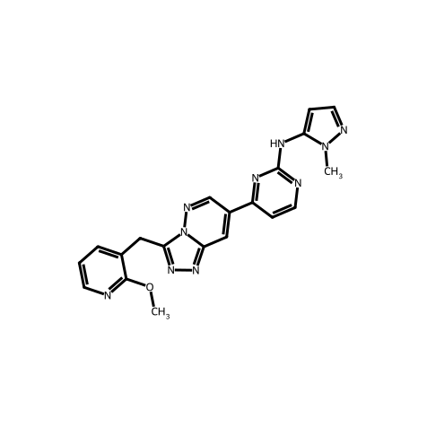 COc1ncccc1Cc1nnc2cc(-c3ccnc(Nc4ccnn4C)n3)cnn12